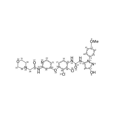 COc1ccc(-n2nc(O)cc2NC(=O)Nc2ccc(Oc3ccnc(NC(=O)CN4CCOCC4)c3)c(Cl)c2Cl)cc1